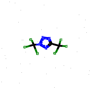 ClC(Cl)(Cl)c1nnn(C(Cl)(Cl)Cl)n1